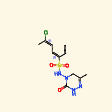 C=C/C(=C\C=C(/C)Cl)S(=O)(=O)NN1CC(C)=NNC1=O